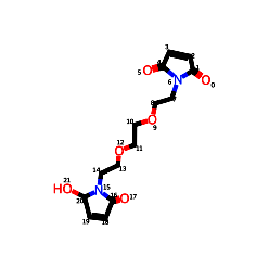 O=C1C=CC(=O)N1CCOCCOCCN1C(=O)C=CC1O